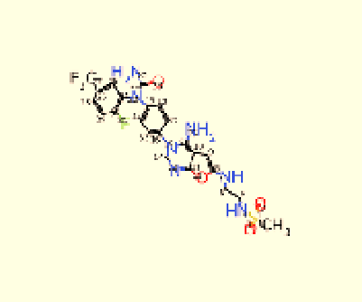 CS(=O)(=O)NCCNc1cc2c(o1)=NCN(c1ccc(N(C(N)=O)c3cc(C(F)(F)F)ccc3F)cc1)C=2N